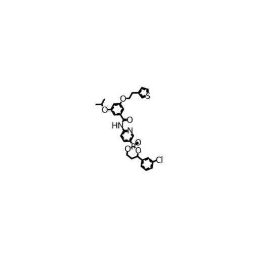 CC(C)Oc1cc(OCCc2ccsc2)cc(C(=O)Nc2ccc(P3(=O)OCCC(c4cccc(Cl)c4)O3)cn2)c1